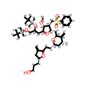 C=C1C[C@H](CCCO)OC1CC[C@H]1C[C@@H](C)C(=C)C(C[C@@H]2OC(CC(CO[Si](C)(C)C(C)(C)C)O[Si](C)(C)C(C)(C)C)[C@H](OC)[C@H]2CS(=O)(=O)c2ccccc2)O1